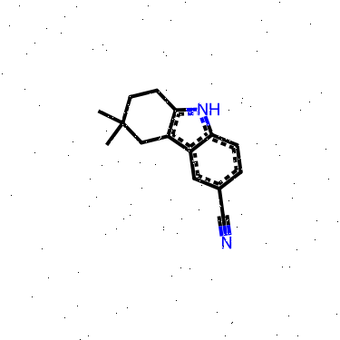 CC1(C)CCc2[nH]c3ccc(C#N)cc3c2C1